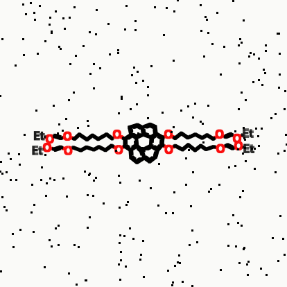 CCOC=COCCCCCCCOc1c(OCCCCCCCOC=COCC)c2ccc3ccc4c(OCCCCCCCOC=COCC)c(OCCCCCCCOC=COCC)c5ccc6ccc1c1c6c5c4c3c21